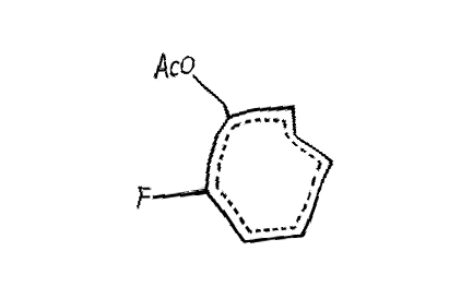 CC(=O)Oc1ccccc1F